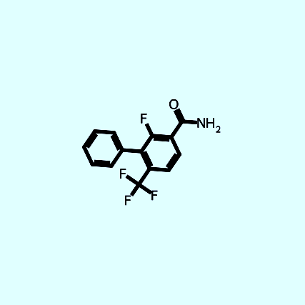 NC(=O)c1ccc(C(F)(F)F)c(-c2ccccc2)c1F